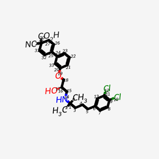 CC(C)(CCCc1ccc(Cl)c(Cl)c1)NC[C@@H](O)COc1cccc(C2=CCC(C#N)(C(=O)O)C=C2)c1